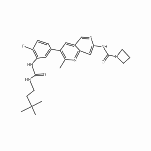 Cc1nc2cc(NC(=O)N3CCC3)ncc2cc1-c1ccc(F)c(NC(=O)NCCC(C)(C)C)c1